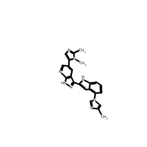 Cc1cn(-c2cccc3[nH]c(-c4n[nH]c5ncc(-c6cnc(C)n6C)cc45)cc23)cn1